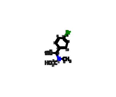 CN(C(=O)O)C(c1ccc(Br)cc1)C(C)(C)C